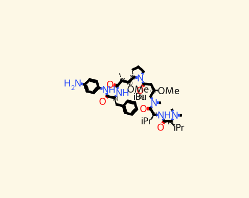 CC[C@H](C)C([C@@H](CC(=O)N1CCC[C@H]1[C@H](OC)[C@@H](C)C(=O)N[C@@H](Cc1ccccc1)C(=O)Nc1ccc(N)cc1)OC)N(C)C(=O)[C@@H](NC(=O)[C@H](C(C)C)N(C)C)C(C)C